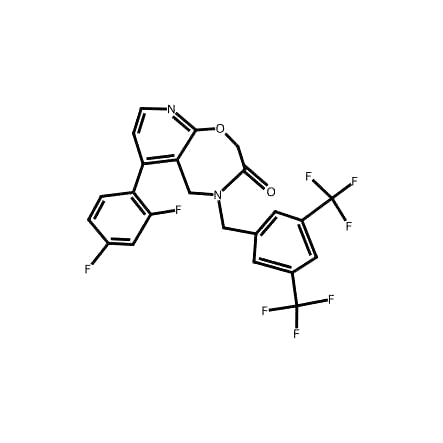 O=C1COc2nccc(-c3ccc(F)cc3F)c2CN1Cc1cc(C(F)(F)F)cc(C(F)(F)F)c1